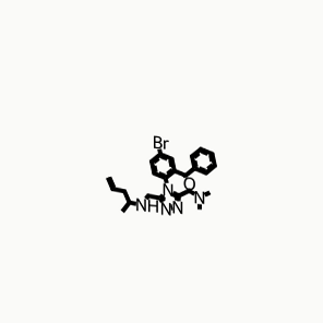 C=CCC(C)NCc1nnc(CN(C)C)n1-c1ccc(Br)cc1C(=O)c1ccccc1